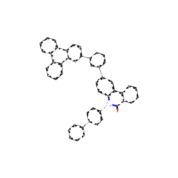 O=c1c2ccccc2c2cc(-c3cccc(-c4ccc5c6ccccc6c6ccccc6c5c4)c3)ccc2n1-c1ccc(-c2ccccc2)cc1